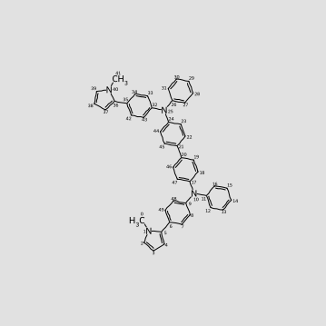 Cn1cccc1-c1ccc(N(c2ccccc2)c2ccc(-c3ccc(N(c4ccccc4)c4ccc(-c5cccn5C)cc4)cc3)cc2)cc1